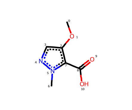 COc1cnn(C)c1C(=O)O